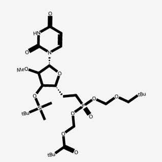 COC1C(O[Si](C)(C)C(C)(C)C)[C@@H](CCP(=O)(OCOCC(C)(C)C)OCOC(=O)C(C)(C)C)O[C@H]1n1ccc(=O)[nH]c1=O